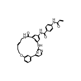 C=CC(=O)Nc1ccc(C(=O)Nc2cc3cc(c2)C(=O)NC/C=C/CCOc2cccc(c2)-c2ccnc(n2)N3)cc1